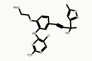 COCCOc1ccc(C#CC(C)(O)c2cc(C)on2)cc1Nc1nc(N)ncc1Cl